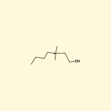 CCCC[N+](C)(C)CCO